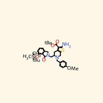 COc1ccc(CN2Cc3sc(N)c(C(=O)OC(C)(C)C)c3CC2CN2Cc3cccc(O[Si](C)(C)C(C)(C)C)c3C2=O)cc1